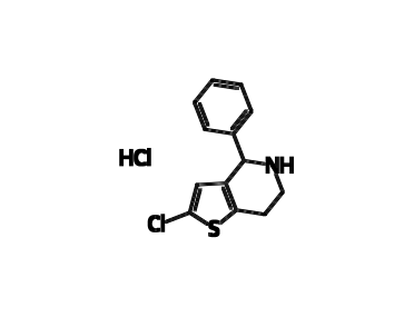 Cl.Clc1cc2c(s1)CCNC2c1ccccc1